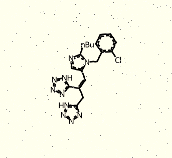 CCCCc1ncc(C=C(Cc2nnn[nH]2)c2nnn[nH]2)n1Cc1ccccc1Cl